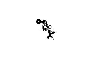 C=C/C(C#N)=C(\C=C\NC(=O)[C@@H](O)Cn1ccc(-c2ccccc2)c1)C(F)(F)F